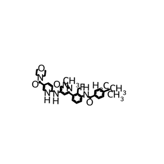 Cn1nc(-c2cccc(NC(=O)c3ccc(C(C)(C)C)cc3)c2CF)cc(NC2C=CC(C(=O)N3CCOCC3)=CN2)c1=O